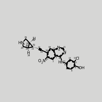 O=[N+]([O-])c1cc2c(Nc3ccc(O)c(Cl)c3)ncnc2cc1C#C[C@@H]1[C@H]2CNC[C@@H]12